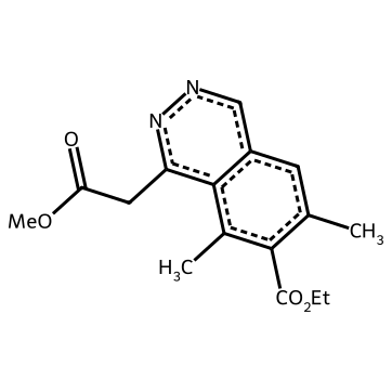 CCOC(=O)c1c(C)cc2cnnc(CC(=O)OC)c2c1C